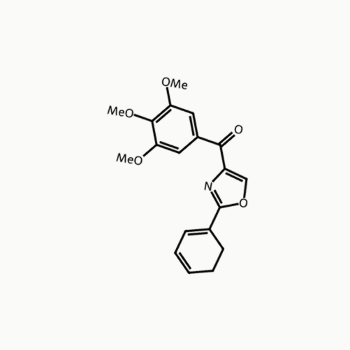 COc1cc(C(=O)c2coc(C3=CC=CCC3)n2)cc(OC)c1OC